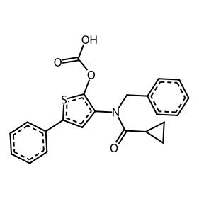 O=C(O)Oc1sc(-c2ccccc2)cc1N(Cc1ccccc1)C(=O)C1CC1